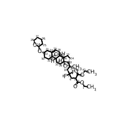 CCOC(=O)C(CC(F)(F)C[C@@H](C)[C@H]1CC[C@H]2[C@@H]3CC=C4C[C@@H](OC5CCCCO5)CC[C@]4(C)[C@H]3CC[C@]12C)C(=O)OCC